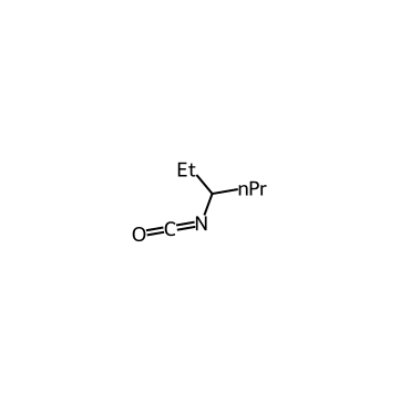 [CH2]CCC(CC)N=C=O